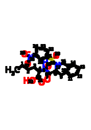 CCCCC(NC(=O)[C@@H]1Cc2ccccc2CN1S(=O)(=O)c1cccc([N+](=O)[O-])c1)C(=O)O